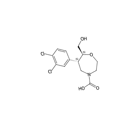 O=C(O)N1CCO[C@H](CO)[C@@H](c2ccc(Cl)c(Cl)c2)C1